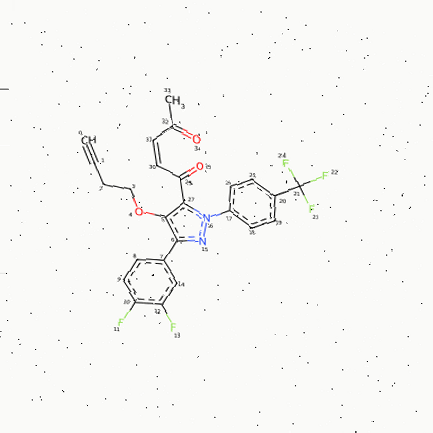 C#CCCOc1c(-c2ccc(F)c(F)c2)nn(-c2ccc(C(F)(F)F)cc2)c1C(=O)/C=C\C(C)=O